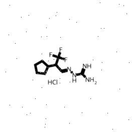 Cl.N=C(N)N/N=C/C(C1CCCC1)C(F)(F)F